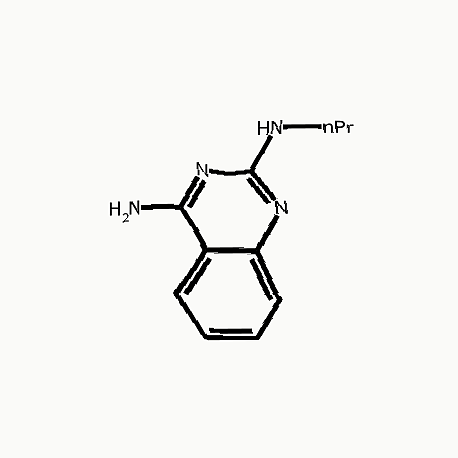 CCCNc1nc(N)c2ccccc2n1